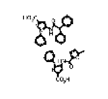 Cc1ccc(C(=O)Nc2cc(C(=O)O)nn2-c2ccccc2)o1.O=C(O)c1cc(NC(=O)C(c2ccccc2)c2ccccc2)n(-c2ccccc2)n1